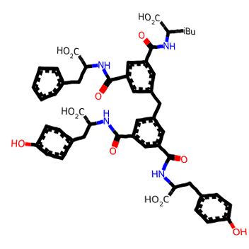 CCC(C)C(NC(=O)c1cc(Cc2cc(C(=O)NC(Cc3ccc(O)cc3)C(=O)O)cc(C(=O)NC(Cc3ccc(O)cc3)C(=O)O)c2)cc(C(=O)NC(Cc2ccccc2)C(=O)O)c1)C(=O)O